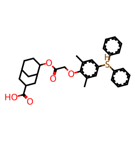 Cc1cc([SH](c2ccccc2)c2ccccc2)cc(C)c1OCC(=O)OC1CCC2CC(C(=O)O)CC1C2